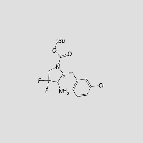 CC(C)(C)OC(=O)N1CC(F)(F)C(N)[C@H]1Cc1cccc(Cl)c1